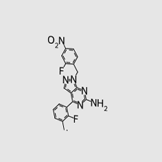 [CH2]c1cccc(-c2nc(N)nc3c2cnn3Cc2ccc([N+](=O)[O-])cc2F)c1F